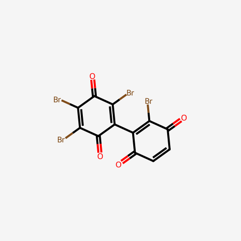 O=C1C=CC(=O)C(C2=C(Br)C(=O)C(Br)=C(Br)C2=O)=C1Br